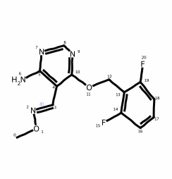 CO/N=C/c1c(N)ncnc1OCc1c(F)cccc1F